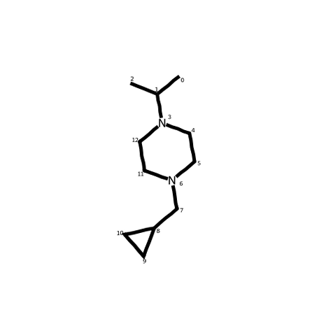 CC(C)N1CCN(CC2CC2)CC1